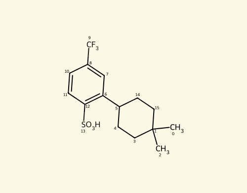 CC1(C)CCC(c2cc(C(F)(F)F)ccc2S(=O)(=O)O)CC1